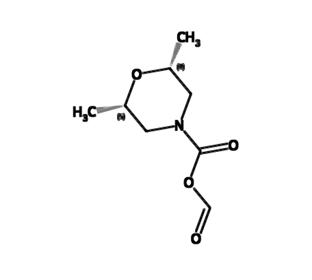 C[C@@H]1CN(C(=O)OC=O)C[C@H](C)O1